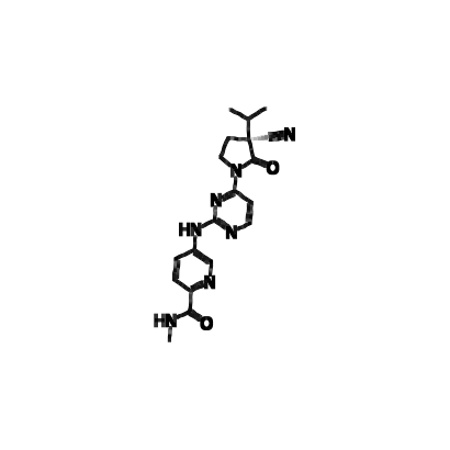 CNC(=O)c1ccc(Nc2nccc(N3CC[C@@](C#N)(C(C)C)C3=O)n2)cn1